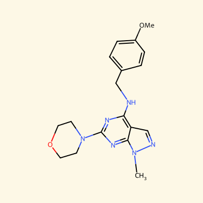 COc1ccc(CNc2nc(N3CCOCC3)nc3c2cnn3C)cc1